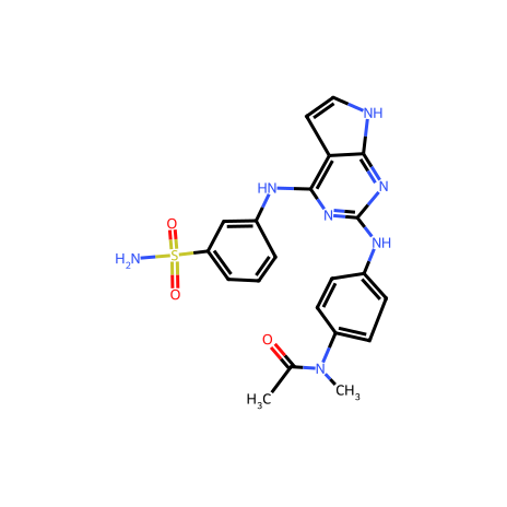 CC(=O)N(C)c1ccc(Nc2nc(Nc3cccc(S(N)(=O)=O)c3)c3cc[nH]c3n2)cc1